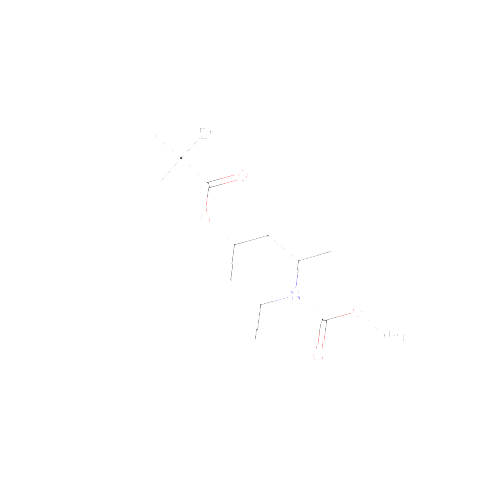 CCC(C)(C)C(=O)OC1CC(C)N(C(=O)OC(C)(C)C)C(C)C1